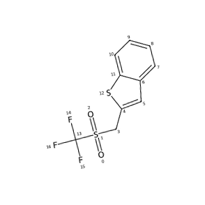 O=S(=O)(Cc1cc2ccccc2s1)C(F)(F)F